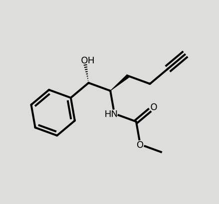 C#CCC[C@@H](NC(=O)OC)[C@@H](O)c1ccccc1